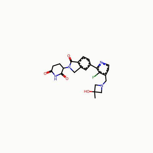 CC1(O)CN(Cc2ccnc(-c3ccc4c(c3)CN(C3CCC(=O)NC3=O)C4=O)c2F)C1